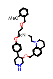 COc1ccccc1COCCCOc1ccc(C2CCNCC2OCc2ccc3c(c2)N(CCNC(C)=O)CCC3)cc1